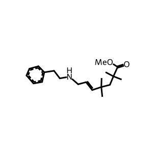 COC(=O)C(C)(C)CC(C)(C)/C=C/CNCCc1ccccc1